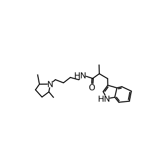 CC(Cc1c[nH]c2ccccc12)C(=O)NCCCCN1C(C)CCC1C